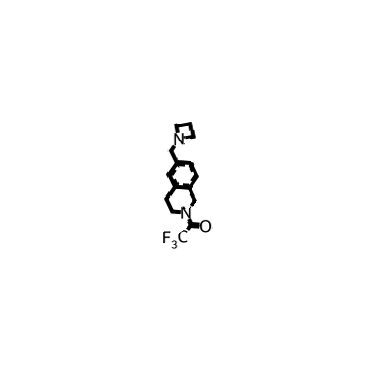 O=C(N1CCc2cc(CN3CCC3)ccc2C1)C(F)(F)F